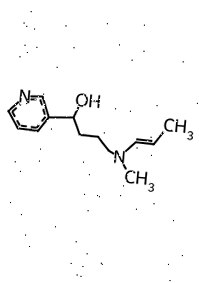 CC=CN(C)CCCC(O)c1cccnc1